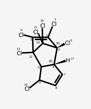 ClC1=C(Cl)[C@]2(Cl)[C@@H]3C=CC(Cl)C3C1(Cl)C2(Cl)Cl